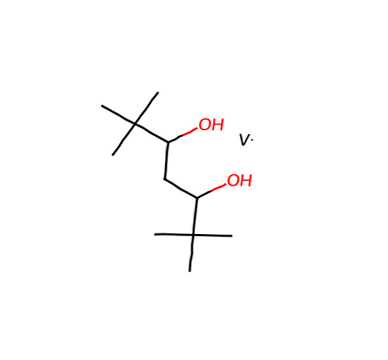 CC(C)(C)C(O)CC(O)C(C)(C)C.[V]